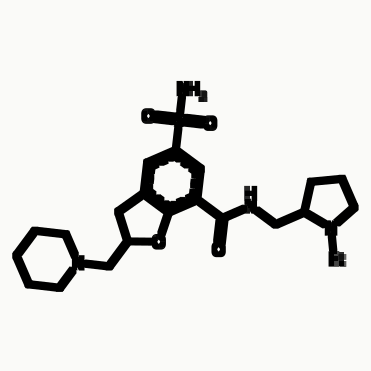 CCN1CCCC1CNC(=O)c1cc(S(N)(=O)=O)cc2c1OC(CN1CCCCC1)C2